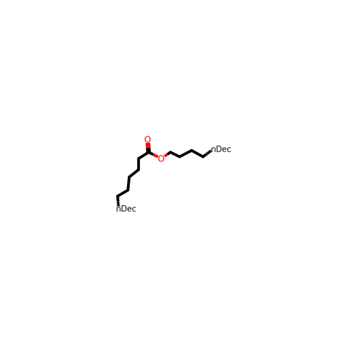 CCCCCCCCCCCCCCCC(=O)OCCCCCCCCCCCCCC